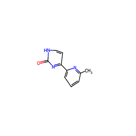 Cc1cccc(-c2cc[nH]c(=O)n2)n1